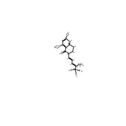 Cc1cc(Cl)nc2c1C(=O)C(/C=C/C=C(\N)C(F)(F)F)CC2